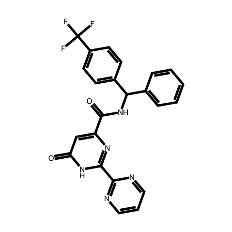 O=C(NC(c1ccccc1)c1ccc(C(F)(F)F)cc1)c1cc(=O)[nH]c(-c2ncccn2)n1